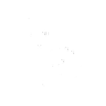 O=C(CSc1nnc(-c2ccsc2)n1-c1ccc(C(F)(F)F)cc1)Nc1ccccc1